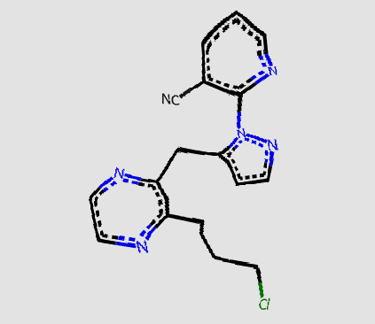 N#Cc1cccnc1-n1nccc1Cc1nccnc1CCCCl